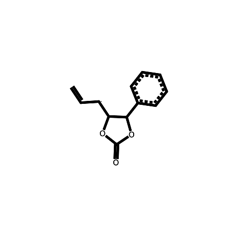 C=C[CH]C1OC(=O)OC1c1ccccc1